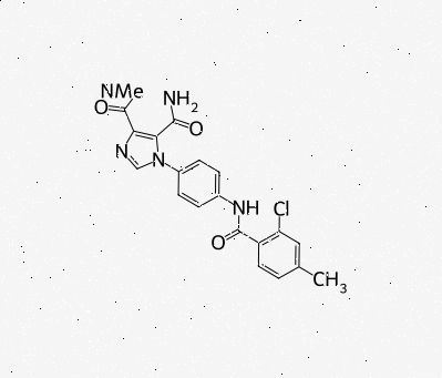 CNC(=O)c1ncn(-c2ccc(NC(=O)c3ccc(C)cc3Cl)cc2)c1C(N)=O